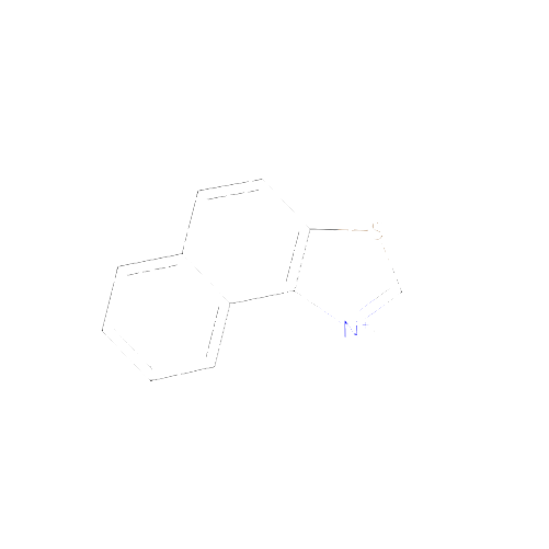 C1=[N+]c2c(ccc3ccccc23)S1